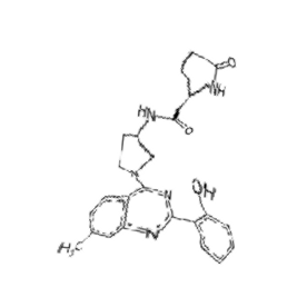 Cc1ccc2c(N3CCC(NC(=O)[C@H]4CCC(=O)N4)C3)nc(-c3ccccc3O)nc2c1